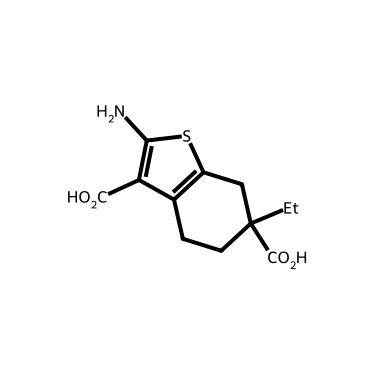 CCC1(C(=O)O)CCc2c(sc(N)c2C(=O)O)C1